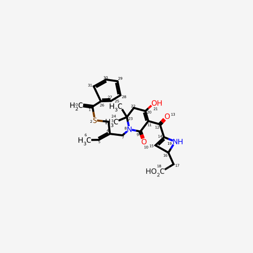 C=C(SC/C(=C\C)CN1C(=O)C(C(=O)C2=CC(CC(=O)O)N2)=C(O)CC1(C)C)c1ccccc1